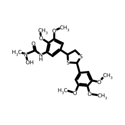 COc1cc(C2CSC(c3cc(OC)c(OC)c(OC)c3)S2)cc(NC(=O)N(C)O)c1OC